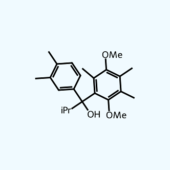 COc1c(C)c(C)c(OC)c(C(O)(c2ccc(C)c(C)c2)C(C)C)c1C